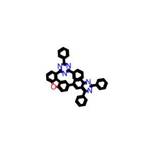 c1ccc(-c2nc(-c3ccccc3)nc(-c3cccc4oc5ccc(-c6ccc7nc(-c8ccccc8)nc(-c8ccccc8)c7c6)cc5c34)n2)cc1